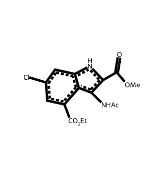 CCOC(=O)c1cc(Cl)cc2[nH]c(C(=O)OC)c(NC(C)=O)c12